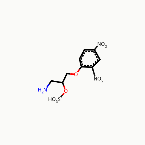 NCC(COc1ccc([N+](=O)[O-])cc1[N+](=O)[O-])OS(=O)(=O)O